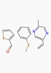 C=Cc1cnc(C)cn1.CSc1ccccc1.O=Cc1cccs1